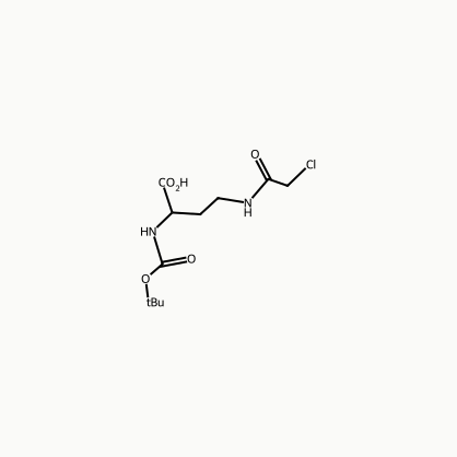 CC(C)(C)OC(=O)NC(CCNC(=O)CCl)C(=O)O